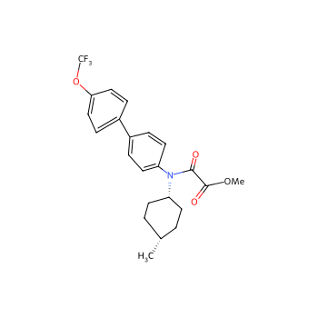 COC(=O)C(=O)N(c1ccc(-c2ccc(OC(F)(F)F)cc2)cc1)[C@H]1CC[C@@H](C)CC1